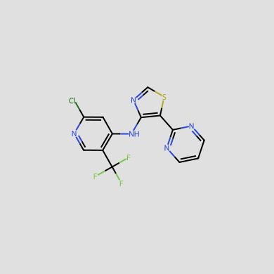 FC(F)(F)c1cnc(Cl)cc1Nc1ncsc1-c1ncccn1